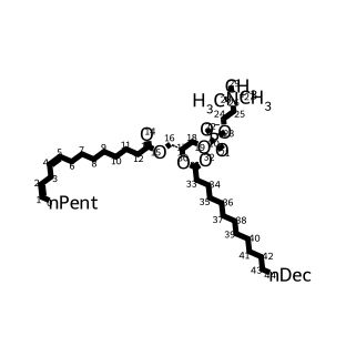 CCCCC/C=C\C/C=C\CCCCCCCC(=O)OC[C@H](COP(=O)([O-])OCC[N+](C)(C)C)OC(=O)CCCCCCCCCCCCCCCCCCCCC